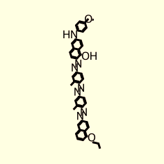 CCCOc1cccc2cc(N=Nc3ccc(N=Nc4ccc(N=Nc5ccc6cc(Nc7ccc(OC)cc7)ccc6c5O)cc4C)cc3C)ccc12